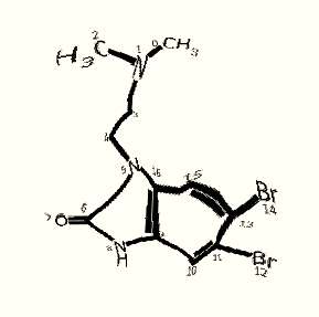 CN(C)CCn1c(=O)[nH]c2cc(Br)c(Br)cc21